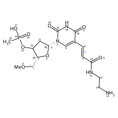 COC[C@H]1O[C@@H](n2cc(/C=C/C(=O)NCCN)c(=O)[nH]c2=O)CC1OP(C)(=O)O